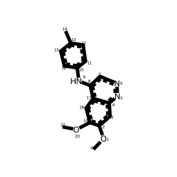 COc1cc2nncc(Nc3ccc(C)cc3)c2cc1OC